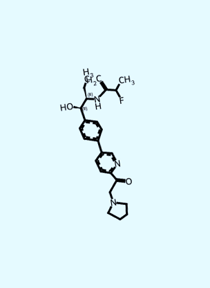 C=C(N[C@H](CC)[C@H](O)c1ccc(-c2ccc(C(=O)CN3CCCC3)nc2)cc1)C(C)F